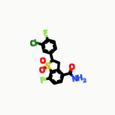 NC(=O)c1ccc(F)c2c1CC(c1ccc(F)c(Cl)c1)S2(=O)=O